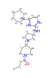 CCCC(=O)N1CCC(N2CCC(Nc3nccc(N4CCCCCC4)n3)C2)CC1